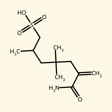 C=C(CC(C)(C)CC(C)CS(=O)(=O)O)C(N)=O